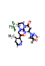 Cc1ccncc1C(=O)CN1c2nc(N3C[C@@H]4CN3CO4)cc(=O)n2CC[C@H]1C(F)(F)F